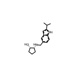 CC(C)c1cc2cc(CN[C@@H]3CCC[C@@H]3O)ccc2[nH]1